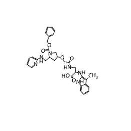 Cc1c(NC(CNC(=O)COC2CC(CNc3ccccn3)N(C(=O)OCc3ccccc3)C2)C(=O)O)[nH]c2ccccc12